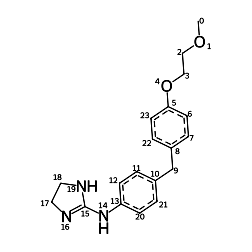 COCCOc1ccc(Cc2ccc(NC3=NCCN3)cc2)cc1